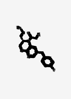 CC(C)OC[C@H]1COc2ncc(Cc3ccc(F)cc3)cc2N1C(=O)CCl